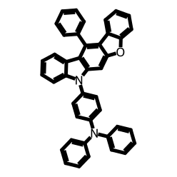 c1ccc(-c2c3c(cc4c2c2ccccc2n4-c2ccc(N(c4ccccc4)c4ccccc4)cc2)oc2ccccc23)cc1